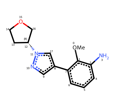 COc1c(N)cccc1-c1cnn([C@@H]2CCOC2)c1